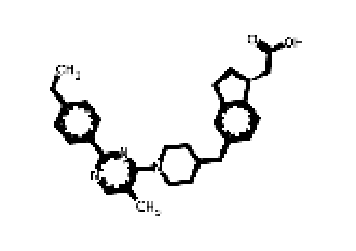 CCc1ccc(-c2ncc(C)c(N3CCC(Cc4ccc5c(c4)CC[C@H]5CC(=O)O)CC3)n2)cc1